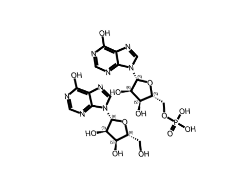 O=P(O)(O)OC[C@H]1O[C@@H](n2cnc3c(O)ncnc32)[C@H](O)[C@@H]1O.OC[C@H]1O[C@@H](n2cnc3c(O)ncnc32)[C@H](O)[C@@H]1O